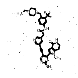 CCN1CCN(Cc2ccc(NC(=O)Cc3cncc(C#Cc4cnc(N)nc4-c4cc5c(n4C)CCNC5=O)c3)cc2C(F)(F)F)CC1